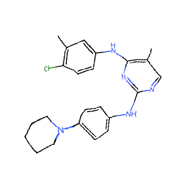 Cc1cc(Nc2nc(Nc3ccc(N4CCCCC4)cc3)ncc2C)ccc1Cl